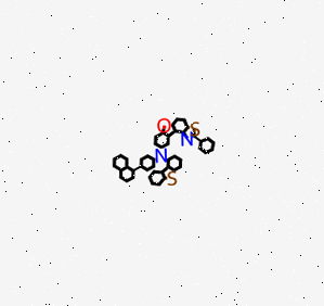 c1ccc(-c2nc3c(ccc4oc5ccc(N(c6ccc(-c7cccc8ccccc78)cc6)c6cccc7sc8ccccc8c67)cc5c43)s2)cc1